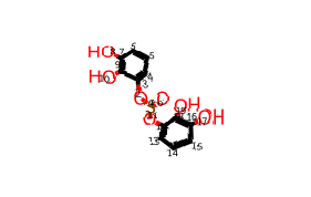 O=S(Oc1cccc(O)c1O)Oc1cccc(O)c1O